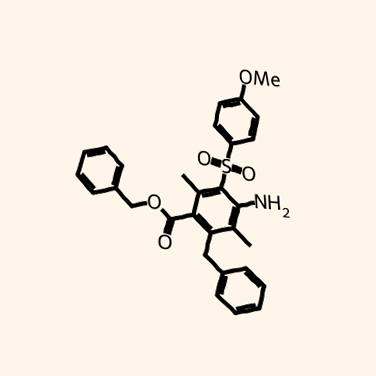 COc1ccc(S(=O)(=O)c2c(C)c(C(=O)OCc3ccccc3)c(Cc3ccccc3)c(C)c2N)cc1